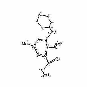 COC(=O)c1cc(Br)cc(PC2CCNCC2)c1C=N